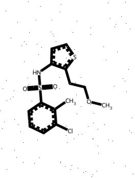 COCCc1sccc1NS(=O)(=O)c1cccc(Cl)c1C